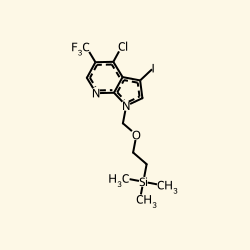 C[Si](C)(C)CCOCn1cc(I)c2c(Cl)c(C(F)(F)F)cnc21